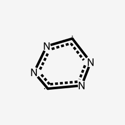 [c]1nn[c]nn1